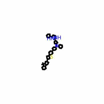 CC1(C)c2ccccc2-c2ccc(-c3ccc4c(c3)sc3cc(-c5ccc(N(c6ccccc6)c6ccc(C7NC=CC(c8ccccc8)N7)cc6)cc5)ccc34)cc21